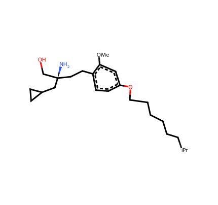 COc1cc(OCCCCCCC(C)C)ccc1CC[C@@](N)(CO)CC1CC1